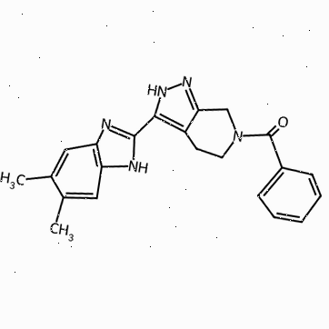 Cc1cc2nc(-c3[nH]nc4c3CCN(C(=O)c3ccccc3)C4)[nH]c2cc1C